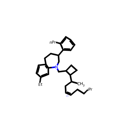 CCCc1ccccc1C1CCc2ccc(CC)cc2N(CC2CCC2C(C)C/C=C\CCC(C)C)C1